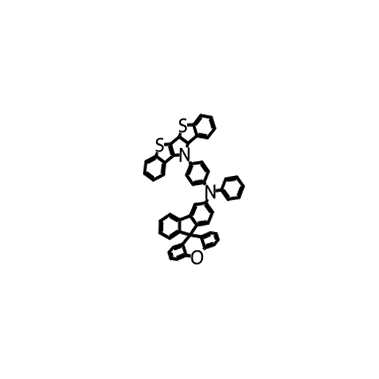 c1ccc(N(c2ccc(N3c4c(sc5ccccc45)C4Sc5ccccc5C43)cc2)c2ccc3c(c2)-c2ccccc2C32c3ccccc3Oc3ccccc32)cc1